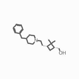 CC1(C)[C@H](CO)C[C@@H]1CCN1CCC(Cc2ccccc2)CC1